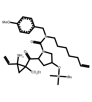 C=CCCCCCN(Cc1ccc(OC)cc1)C(=O)N1CC(O[Si](C)(C)C(C)(C)C)CC1C(=O)C1(C(=O)OCC)CC1(N)C=C